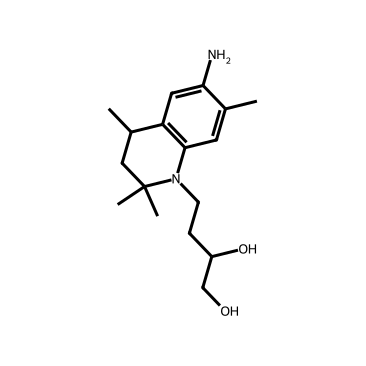 Cc1cc2c(cc1N)C(C)CC(C)(C)N2CCC(O)CO